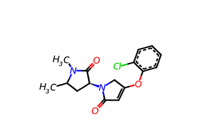 CC1C[C@H](N2CC(Oc3ccccc3Cl)=CC2=O)C(=O)N1C